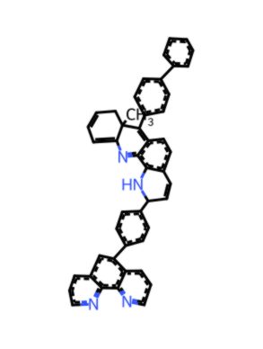 CC12CC=CC=C1N=c1c3c(ccc1=C2c1ccc(-c2ccccc2)cc1)C=CC(c1ccc(-c2cc4cccnc4c4ncccc24)cc1)N3